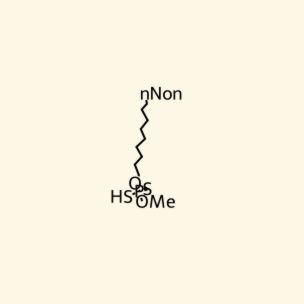 CCCCCCCCCCCCCCCCCCOP(=S)(S)OC